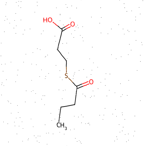 CCCC(=O)SCCC(=O)O